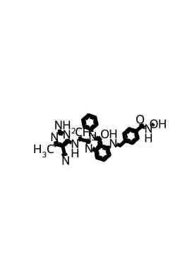 Cc1nc(N)nc(NC(C)c2nc3cccc(NCc4ccc(C(=O)NO)cc4)c3c(=O)n2-c2ccccc2)c1C#N